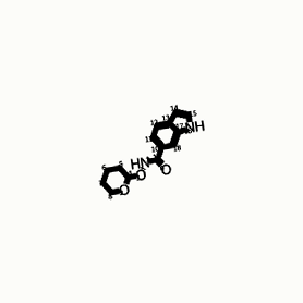 O=C(NOC1CCCCO1)c1ccc2cc[nH]c2c1